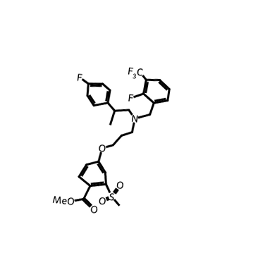 COC(=O)c1ccc(OCCCN(Cc2cccc(C(F)(F)F)c2F)CC(C)c2ccc(F)cc2)cc1S(C)(=O)=O